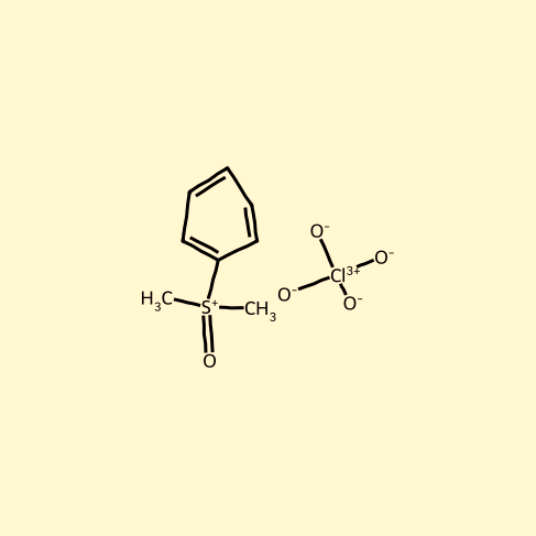 C[S+](C)(=O)c1ccccc1.[O-][Cl+3]([O-])([O-])[O-]